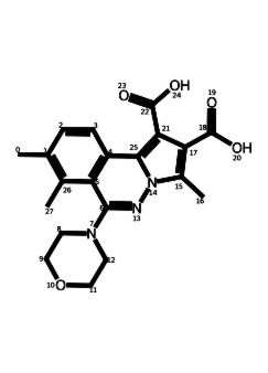 Cc1ccc2c(c(N3CCOCC3)nn3c(C)c(C(=O)O)c(C(=O)O)c23)c1C